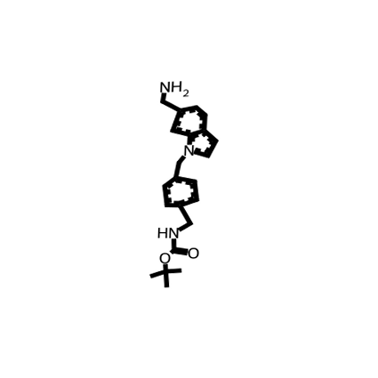 CC(C)(C)OC(=O)NCc1ccc(Cn2ccc3ccc(CN)cc32)cc1